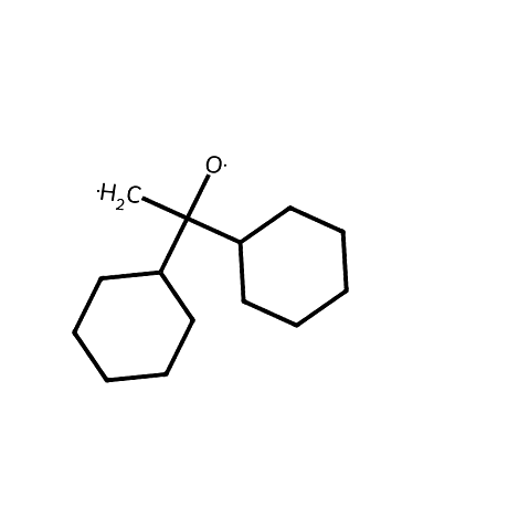 [CH2]C([O])(C1CCCCC1)C1CCCCC1